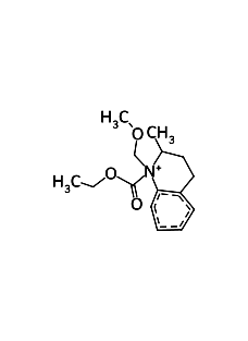 CCOC(=O)[N+]1(COC)c2ccccc2CCC1C